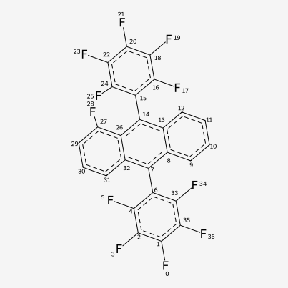 Fc1c(F)c(F)c(-c2c3ccccc3c(-c3c(F)c(F)c(F)c(F)c3F)c3c(F)cccc23)c(F)c1F